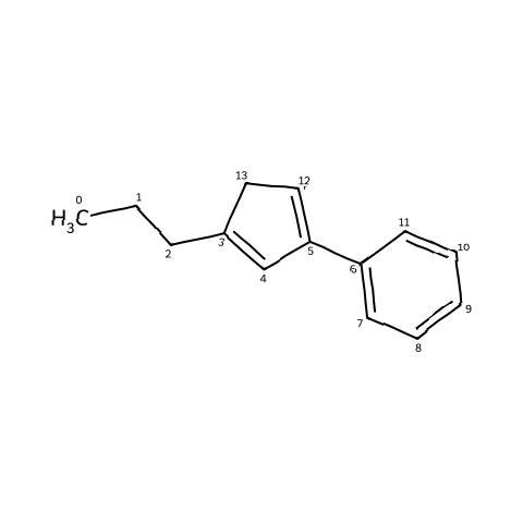 CCCC1=CC(c2ccccc2)=[C]C1